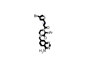 CCCC1C(=O)N(Cc2ccc3c(N)ncnc3c2)CCN1C(=O)/C=C/c1cc(Br)cs1